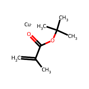 C=C(C)C(=O)OC(C)(C)C.[Cu]